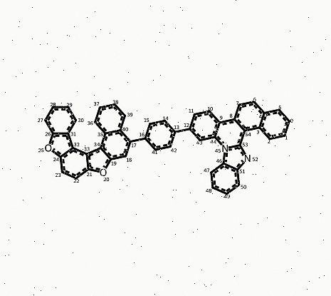 c1ccc2c(c1)ccc1c3ccc(-c4ccc(-c5cc6oc7ccc8oc9ccccc9c8c7c6c6ccccc56)cc4)cc3n3c4ccccc4nc3c21